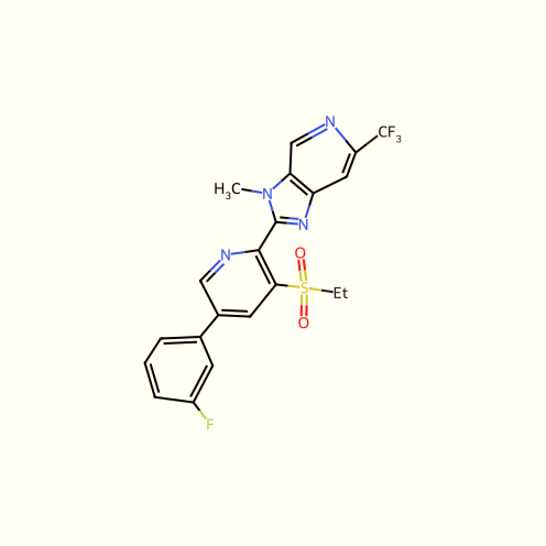 CCS(=O)(=O)c1cc(-c2cccc(F)c2)cnc1-c1nc2cc(C(F)(F)F)ncc2n1C